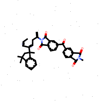 C=C(C/C=C(\C=C/C)C1(C)CC(C)(C)c2ccccc21)N1C(=O)c2ccc(C(=O)c3ccc4c(c3)C(=O)N(C)C4=O)cc2C1=O